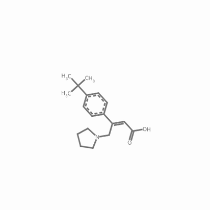 CC(C)(C)c1ccc(/C(=C/C(=O)O)CN2CCCC2)cc1